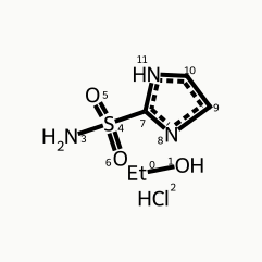 CCO.Cl.NS(=O)(=O)c1ncc[nH]1